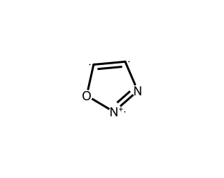 [C]1=[C]O[N+]=N1